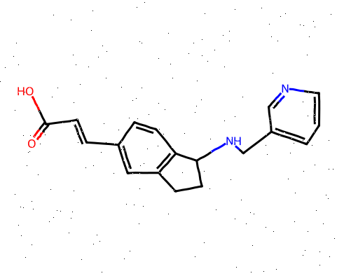 O=C(O)/C=C/c1ccc2c(c1)CCC2NCc1cccnc1